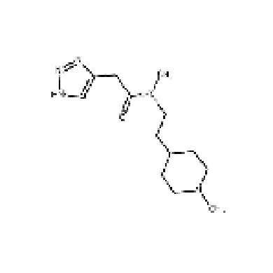 CN1CCC(CCN(C)C(=O)Cc2c[nH]nn2)CC1